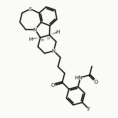 CC(=O)Nc1cc(F)ccc1C(=O)CCCN1CC[C@@H]2[C@H](C1)c1cccc3c1N2CCCS3